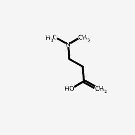 C=C(O)CCN(C)C